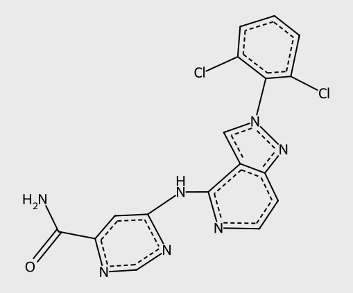 NC(=O)c1cc(Nc2nccc3nn(-c4c(Cl)cccc4Cl)cc23)ncn1